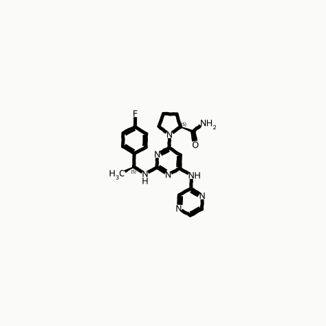 C[C@H](Nc1nc(Nc2cnccn2)cc(N2CCC[C@H]2C(N)=O)n1)c1ccc(F)cc1